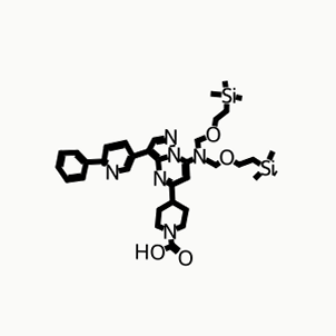 C[Si](C)(C)CCOCN(COCC[Si](C)(C)C)c1cc(C2CCN(C(=O)O)CC2)nc2c(-c3ccc(-c4ccccc4)nc3)cnn12